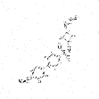 COc1ccc(-c2ccc(S(=O)(=O)O[C@H]3C[C@@H](N=C=S)C3)cc2)cc1